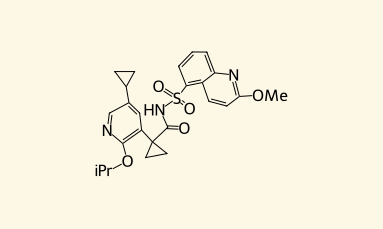 COc1ccc2c(S(=O)(=O)NC(=O)C3(c4cc(C5CC5)cnc4OC(C)C)CC3)cccc2n1